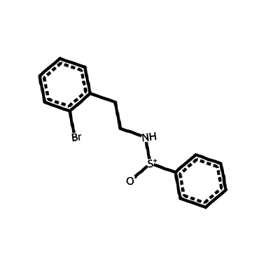 [O-][S+](NCCc1ccccc1Br)c1ccccc1